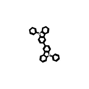 C1=CC2c3cc(-c4ccc5c(c4)c4c(n5C5=CCCC=C5)CCC=C4)ccc3N(c3ccccc3)C2C=C1